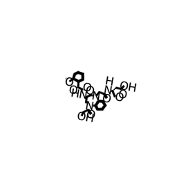 COc1ccccc1C(=O)C(=O)N[C@H]1CN(C(=O)CO)c2ccccc2N(CC(=O)N[C@H](C=O)CC(=O)O)C1=O